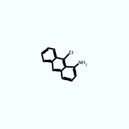 CCc1c2ccccc2cc2cccc(N)c12